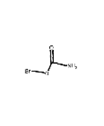 NC(=O)OBr